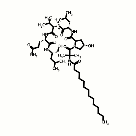 CCCCCCCCCCCCCC(=O)NC(C)(C)C(=O)N1C[C@@H](O)CC1C(=O)N[C@@H](CC(C)C)C(=O)N[C@H](C(=O)N[C@@H](CCC(N)=O)C(=O)N[C@H](CO)CC(C)C)C(C)C